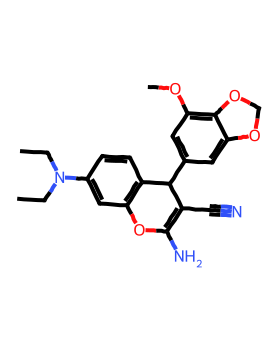 CCN(CC)c1ccc2c(c1)OC(N)=C(C#N)C2c1cc(OC)c2c(c1)OCO2